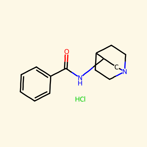 Cl.O=C(NC1CN2CCC1CC2)c1ccccc1